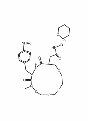 CC(=O)Nc1ccc(CC2NC(=O)C(CC(=O)NO[C@H]3CCCCO3)CCCCCCCCCN(C)C2=O)cc1